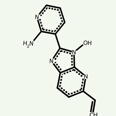 C=Cc1ccc2nc(-c3cccnc3N)n(O)c2n1